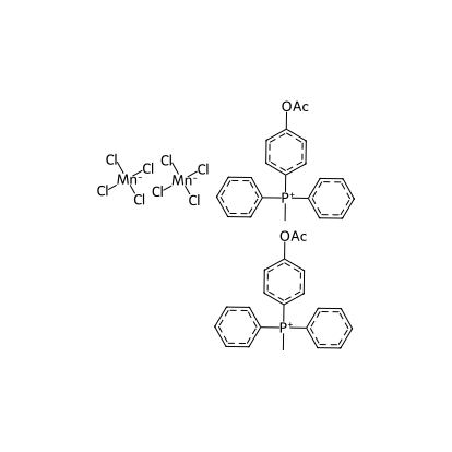 CC(=O)Oc1ccc([P+](C)(c2ccccc2)c2ccccc2)cc1.CC(=O)Oc1ccc([P+](C)(c2ccccc2)c2ccccc2)cc1.[Cl][Mn-]([Cl])([Cl])[Cl].[Cl][Mn-]([Cl])([Cl])[Cl]